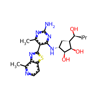 Cc1nc(N)nc(N[C@@H]2C[C@H]([C@@H](O)C(C)C)[C@@H](O)[C@H]2O)c1-c1nc2c(C)nccc2s1